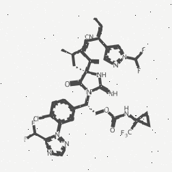 C=C(/C=C\C(=C/C)c1cnn(C(F)F)c1)[C@@]1(C[C@@H](C)CC#N)NC(=N)N([C@H](COC(=O)NC2(C(F)(F)F)CC2)c2ccc(Cl)c(-n3ncnc3C(F)F)c2)C1=O